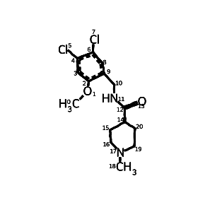 COc1cc(Cl)c(Cl)cc1CNC(=O)C1CCN(C)CC1